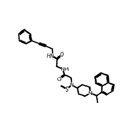 CSN(CC(=O)NCC(=O)NCC#Cc1ccccc1)C1CCN(C(C)c2cccc3ccccc23)CC1